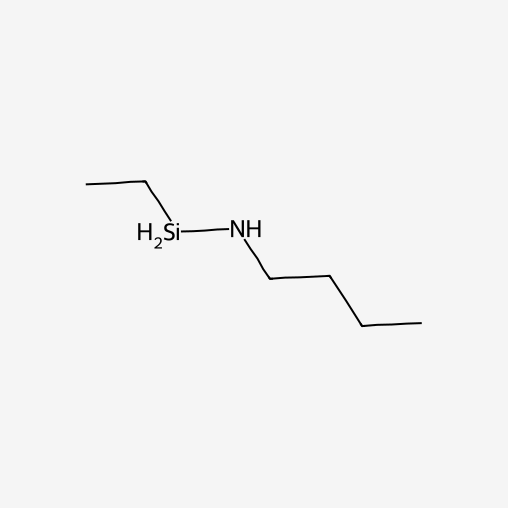 CCCCN[SiH2]CC